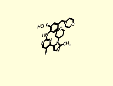 Cc1ncc(-c2nc(Nc3ccc(CN4CCOCC4)cc3F)ncc2F)n1C1CCOCC1.Cl